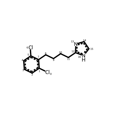 Clc1cccc(Cl)c1CCCCc1ncc[nH]1